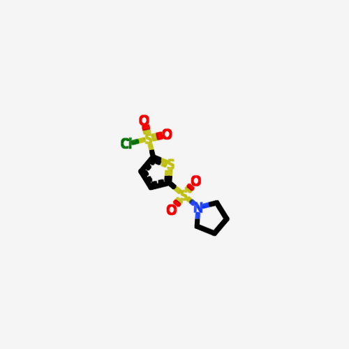 O=S(=O)(Cl)c1ccc(S(=O)(=O)N2CCCC2)s1